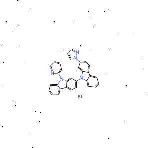 [Pt].c1ccc(-n2c3ccccc3c3ccc(-n4c5ccccc5c5ccc(-n6cccn6)cc54)cc32)nc1